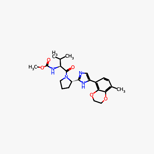 COC(=O)N[C@H](C(=O)N1CCC[C@H]1c1ncc(-c2ccc(C)c3c2OCCO3)[nH]1)C(C)C